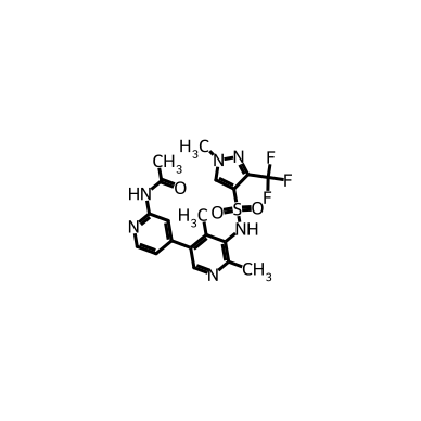 CC(=O)Nc1cc(-c2cnc(C)c(NS(=O)(=O)c3cn(C)nc3C(F)(F)F)c2C)ccn1